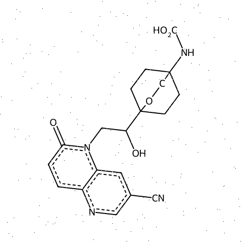 N#Cc1cnc2ccc(=O)n(CC(O)C34CCC(NC(=O)O)(CC3)CO4)c2c1